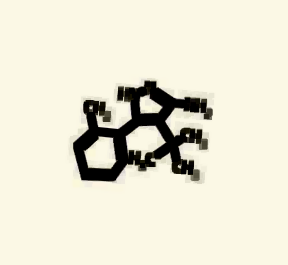 Cc1ccccc1-c1[nH]nc(N)c1C(C)(C)C